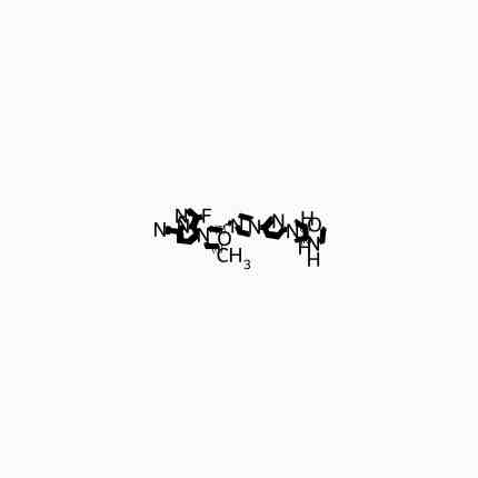 C[C@@H]1CN(c2ccc(C#N)n3ncc(F)c23)C[C@H](CN2CCN(c3ccc(N4C[C@H]5NCCO[C@@H]5C4)nc3)CC2)O1